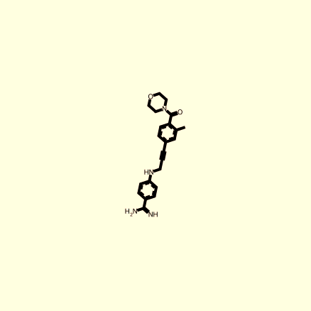 Cc1cc(C#CCNc2ccc(C(=N)N)cc2)ccc1C(=O)N1CCOCC1